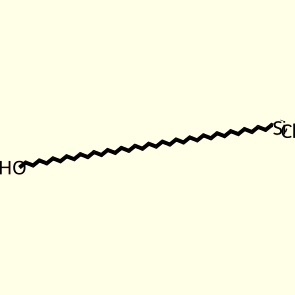 C[Si](C)(Cl)CCCCCCCCCCCCCCCCCCCCCCCCCCCCCCCCCCCCCO